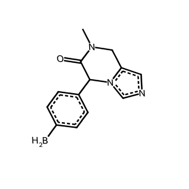 Bc1ccc(C2C(=O)N(C)Cc3cncn32)cc1